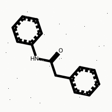 O=C(Cc1ccccc1)Nc1c[c]ccc1